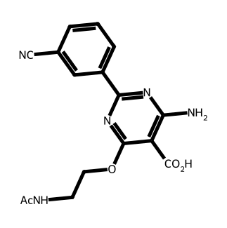 CC(=O)NCCOc1nc(-c2cccc(C#N)c2)nc(N)c1C(=O)O